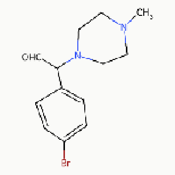 CN1CCN(C(C=O)c2ccc(Br)cc2)CC1